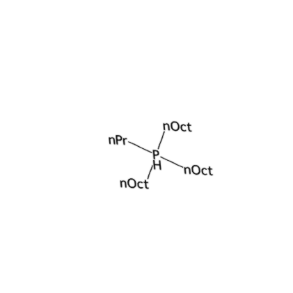 [CH2]CC[PH](CCCCCCCC)(CCCCCCCC)CCCCCCCC